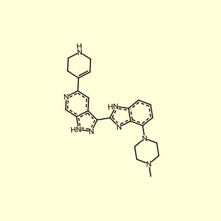 CN1CCN(c2cccc3[nH]c(-c4n[nH]c5cnc(C6=CCNCC6)cc45)nc23)CC1